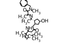 C=C(/N=C(\C)[C@@H]1C[C@@H](O)CC1CC(=O)[C@@H](C(=N)C(C)=O)C(C)(C)C)C(=O)N(C)CC1=CC=CCC=C1